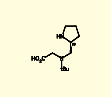 CC(C)(C)N(CC(=O)O)C[C@@H]1CCCN1